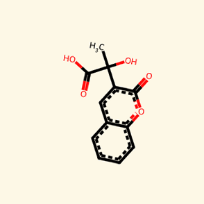 CC(O)(C(=O)O)c1cc2ccccc2oc1=O